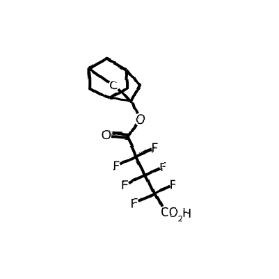 O=C(O)C(F)(F)C(F)(F)C(F)(F)C(=O)OC12CC3CC(CC1C3)C2